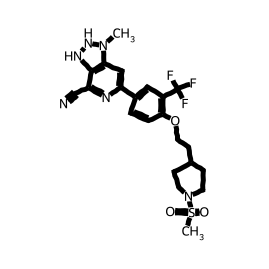 CN1NNc2c1cc(-c1ccc(OCCC3CCN(S(C)(=O)=O)CC3)c(C(F)(F)F)c1)nc2C#N